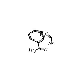 C=[CH][Na].O=C(O)c1ccccc1